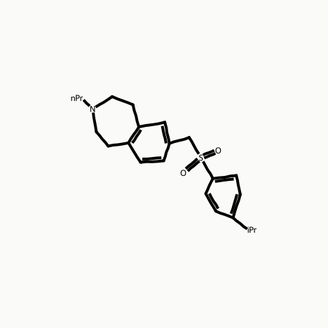 CCCN1CCc2ccc(CS(=O)(=O)c3ccc(C(C)C)cc3)cc2CC1